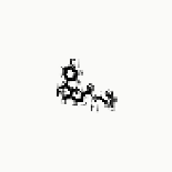 CS(=O)(=O)CCNC(=O)c1ccc2cncc(-c3ccc(Cl)cc3)c2n1